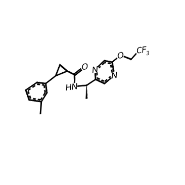 Cc1cccc(C2CC2C(=O)N[C@H](C)c2cnc(OCC(F)(F)F)cn2)c1